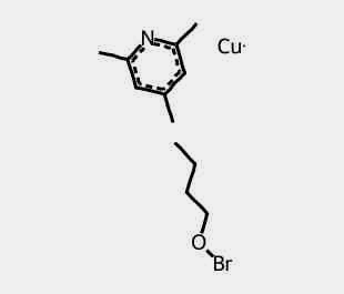 CCCCOBr.Cc1cc(C)nc(C)c1.[Cu]